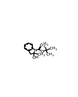 CC(C)(C)OC(=O)N1c2ccccc2CC1(C)O